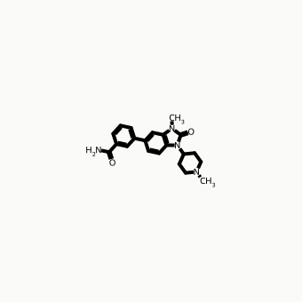 CN1CCC(n2c(=O)n(C)c3cc(-c4cccc(C(N)=O)c4)ccc32)CC1